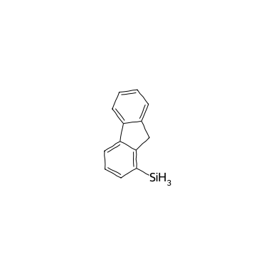 [SiH3]c1cccc2c1Cc1ccccc1-2